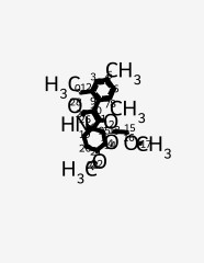 CCc1cc(C)cc(C)c1C1=C(OC(=O)COC)C2(CCC(OC)CC2)NC1=O